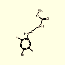 CC(C)(C)OC(=O)NCCNc1cc(F)c(Br)cc1F